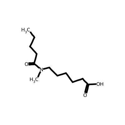 CCCCC(=O)N(C)CCCCCC(=O)O